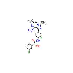 Cc1cn2c(C)nc(-c3ccc(NC(=O)[C@H](O)c4cccc(F)c4)c(F)c3)c2c(N)n1